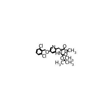 COC(=O)[C@H](Cc1ccc(OCc2c(Cl)cccc2Cl)cn1)NC(=O)OC(C)(C)C